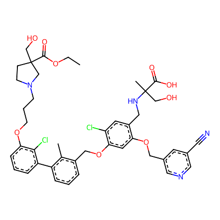 CCOC(=O)C1(CO)CCN(CCCOc2cccc(-c3cccc(COc4cc(OCc5cncc(C#N)c5)c(CNC(C)(CO)C(=O)O)cc4Cl)c3C)c2Cl)C1